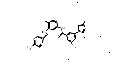 Cc1cn(-c2cc(C(=O)Nc3ccc(C)c(NCc4cnc(N)cn4)c3)cc(C(F)(F)F)c2)cn1